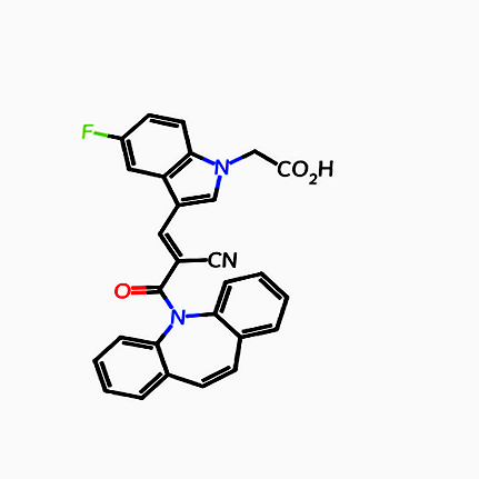 N#C/C(=C\c1cn(CC(=O)O)c2ccc(F)cc12)C(=O)N1c2ccccc2C=Cc2ccccc21